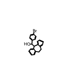 OC(c1ccc(Br)cc1)C1c2ccccc2CCc2ccccc21